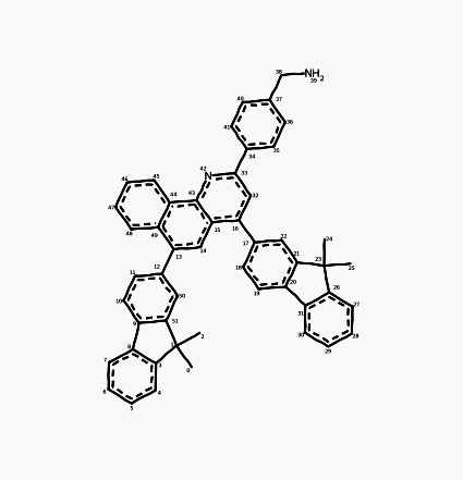 CC1(C)c2ccccc2-c2ccc(-c3cc4c(-c5ccc6c(c5)C(C)(C)c5ccccc5-6)cc(-c5ccc(CN)cc5)nc4c4ccccc34)cc21